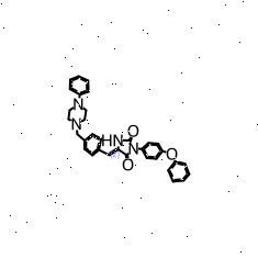 O=C1N/C(=C\c2ccc(CN3CCN(c4ccccc4)CC3)cc2)C(=O)N1c1ccc(Oc2ccccc2)cc1